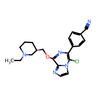 CCN1CCC[C@@H](COc2nc(-c3ccc(C#N)cc3)c(Cl)n3ccnc23)C1